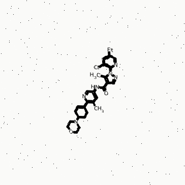 CCc1cnc(-n2ncc(C(=O)Nc3cnc(C4=CCC(N5CCOCC5)CC4)c(C)c3)c2C)c(Cl)c1